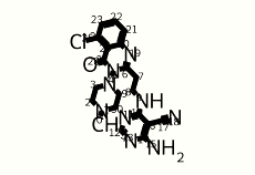 CN1CCN(n2c(CCNc3ncnc(N)c3C#N)nc3cccc(Cl)c3c2=O)CC1